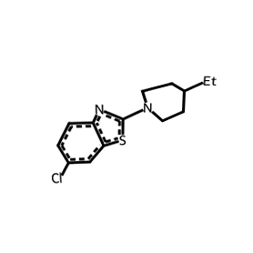 CCC1CCN(c2nc3ccc(Cl)cc3s2)CC1